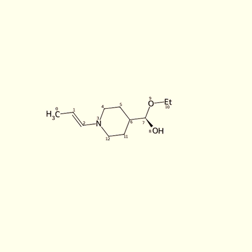 C/C=C/N1CCC([C@H](O)OCC)CC1